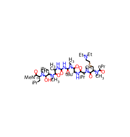 CCCC(=O)N(C)[C@H](CSCCN(CC)CC)C(=O)N(C)[C@H](C(=O)N[C@@H](C(=O)N(C)C(=O)NC(=O)N[C@H](C)C(=O)N(C)[C@@H](CC(C)C)C(O)N(C)[C@@H](CC(C)C)C(=O)NC)C(C)(C)C)C(C)C